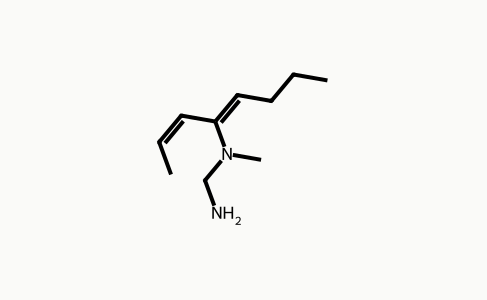 C/C=C\C(=C\CCC)N(C)CN